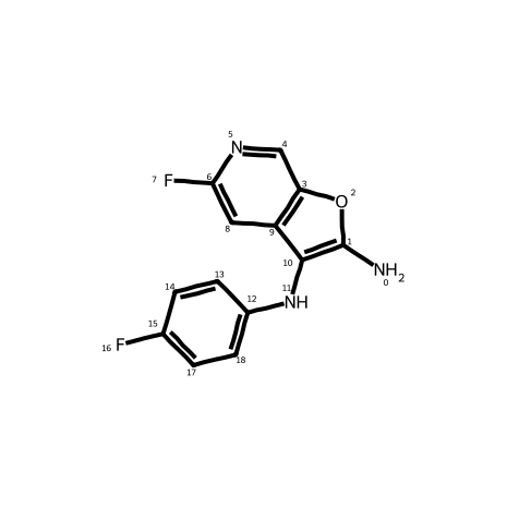 Nc1oc2cnc(F)cc2c1Nc1ccc(F)cc1